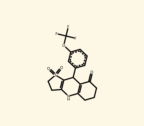 O=C1CCCC2=C1C(c1cccc(OC(F)(F)F)c1)C1=C(CCS1(=O)=O)N2